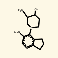 CNc1cnc2c(c1N1CCC(O)C(N)C1)CCC2